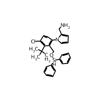 CC(C)(C)c1c(Cl)ccc(-n2cccc2CN)c1CO[SiH](c1ccccc1)c1ccccc1